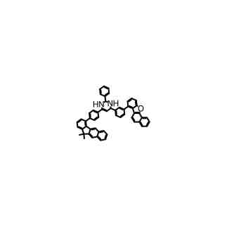 CC1(C)c2cc3ccccc3cc2-c2c(-c3ccc(C4=CC(c5cccc(-c6cccc7oc8c9ccccc9ccc8c67)c5)NC(c5ccccc5)N4)cc3)cccc21